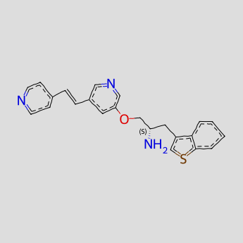 N[C@H](COc1cncc(C=Cc2ccncc2)c1)Cc1csc2ccccc12